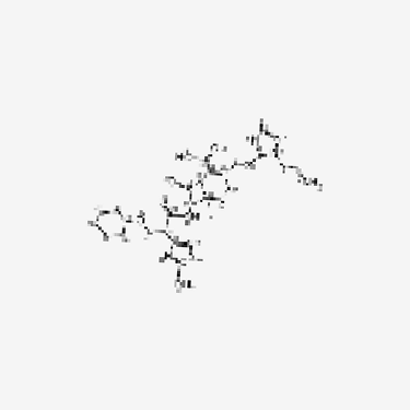 C=CCn1nnnc1SCC1=C(C(=O)O)N2C(=O)C(NC(=O)/C(=N\OC3C=CCCC3)c3nsc(N)n3)[C@H]2SC1